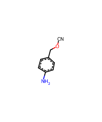 N#COCc1ccc(N)cc1